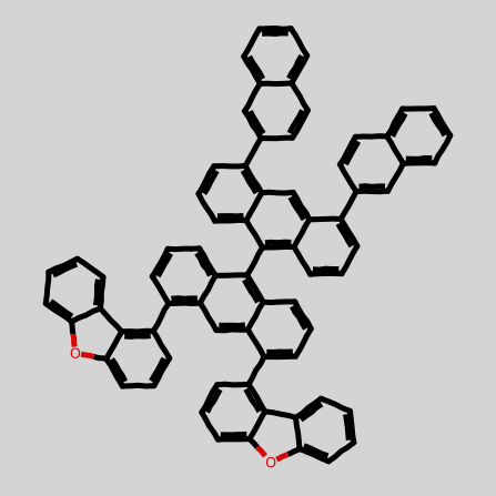 c1ccc2cc(-c3cccc4c(-c5c6cccc(-c7cccc8oc9ccccc9c78)c6cc6c(-c7cccc8oc9ccccc9c78)cccc56)c5cccc(-c6ccc7ccccc7c6)c5cc34)ccc2c1